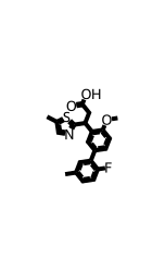 COc1ccc(-c2cc(C)ccc2F)cc1C(CC(=O)O)c1ncc(C)s1